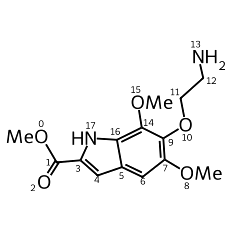 COC(=O)c1cc2cc(OC)c(OCCN)c(OC)c2[nH]1